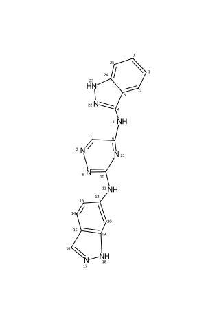 c1ccc2c(Nc3cnnc(Nc4ccc5cn[nH]c5c4)n3)n[nH]c2c1